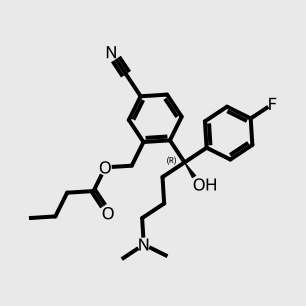 CCCC(=O)OCc1cc(C#N)ccc1[C@@](O)(CCCN(C)C)c1ccc(F)cc1